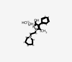 Cc1c(-c2ccccc2)c(O)nn1CCN1CCCCC1.Cl.Cl